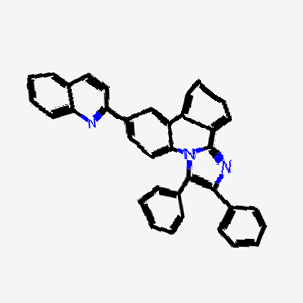 c1ccc(-c2nc3c4ccccc4c4cc(-c5ccc6ccccc6n5)ccc4n3c2-c2ccccc2)cc1